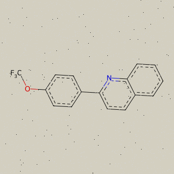 FC(F)(F)Oc1ccc(-c2ccc3cc[c]cc3n2)cc1